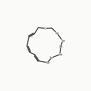 C1=C\C=C\[Se][Se][Se][Se][Se][Se]CCC/C=C/1